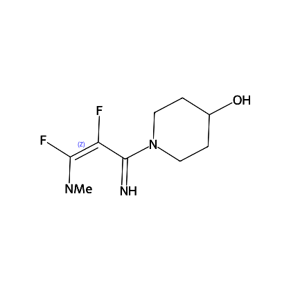 CN/C(F)=C(/F)C(=N)N1CCC(O)CC1